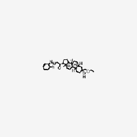 CCOC[C@@]1(O)CC[C@H]2[C@@H](CC[C@@H]3[C@@H]2CC[C@]2(C)[C@@H](C(=O)Cn4nc5ccccc5n4)CC[C@@H]32)C1